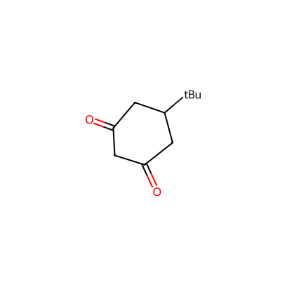 CC(C)(C)C1CC(=O)CC(=O)C1